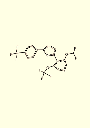 FC(F)Oc1c[c]cc(OC(F)(F)F)c1-c1cccc(-c2ccc(C(F)(F)F)cc2)c1